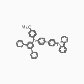 COc1ccc(N(c2ccc(-c3ccc(-n4c5ccccc5c5ccccc54)cc3)cc2)c2cc(-c3ccccc3)cc(-c3ccccc3)c2)cc1